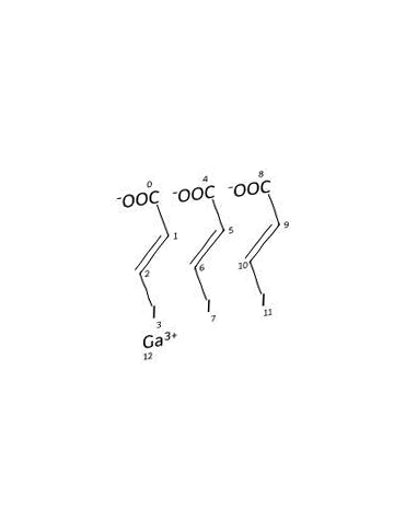 O=C([O-])/C=C/I.O=C([O-])/C=C/I.O=C([O-])/C=C/I.[Ga+3]